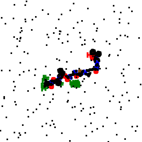 CN(CCN1CCC(N(C(=O)O)c2ccccc2-c2ccccc2)CC1)C(=O)CCCCCN(Cc1ccc(C(=O)N(C)CCCN(C)C(=O)CO[C@H]2Cc3ccccc3C23CCN(CC[C@]2(c4ccc(F)cc4)CN(C(=O)c4cc(C(F)(F)F)cc(C(F)(F)F)c4)CO2)CC3)s1)CC1CC1.Cl.Cl.Cl